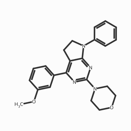 COc1cccc(-c2nc(N3CCOCC3)nc3c2CCN3c2ccccc2)c1